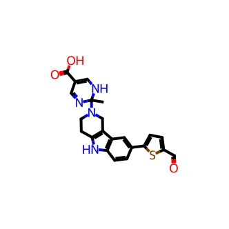 CC1(N2CCc3[nH]c4ccc(-c5ccc(C=O)s5)cc4c3C2)N=CC(C(=O)O)=CN1